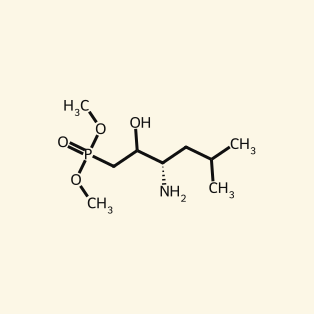 COP(=O)(CC(O)[C@@H](N)CC(C)C)OC